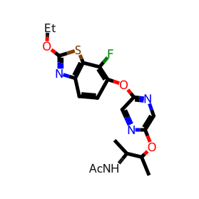 CCOc1nc2ccc(Oc3cnc(OC(C)C(C)NC(C)=O)cn3)c(F)c2s1